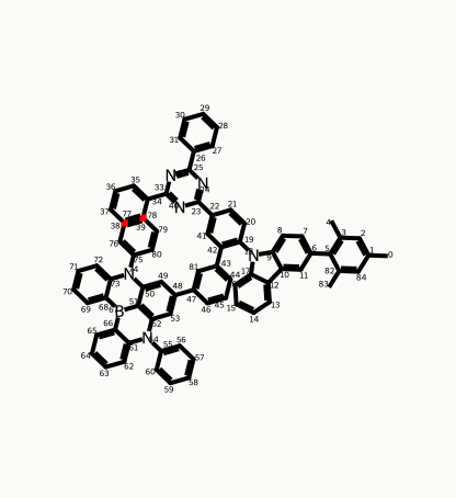 Cc1cc(C)c(-c2ccc3c(c2)c2ccccc2n3-c2ccc(-c3nc(-c4ccccc4)nc(-c4ccccc4)n3)cc2-c2cccc(-c3cc4c5c(c3)N(c3ccccc3)c3ccccc3B5c3ccccc3N4c3ccccc3)c2)c(C)c1